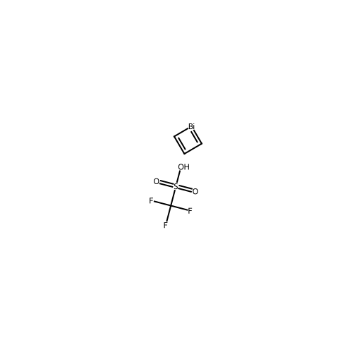 C1=[CH][Bi]=[CH]1.O=S(=O)(O)C(F)(F)F